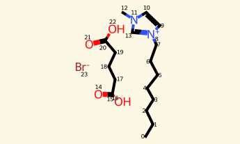 CCCCCCCC[n+]1ccn(C)c1.O=C(O)CCCC(=O)O.[Br-]